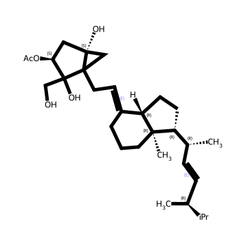 CC(=O)O[C@H]1C[C@@]2(O)CC2(C/C=C2\CCC[C@]3(C)[C@@H]([C@H](C)/C=C/[C@H](C)C(C)C)CC[C@@H]23)C1(O)CO